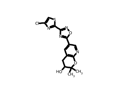 CC1(C)Oc2ncc(-c3nc(-c4nc(Cl)cs4)no3)cc2CC1O